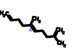 C=CCC/C(C)=C/CCC(=C)C